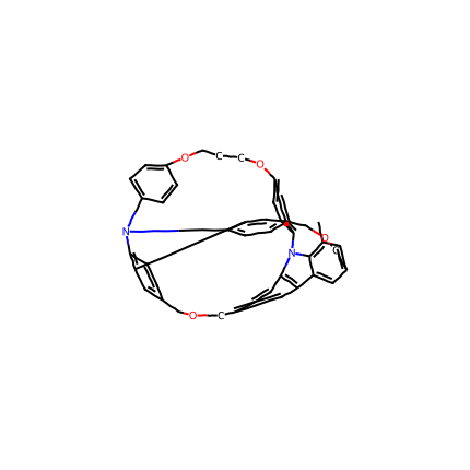 Cc1cc2cc3c4cc5ccc4n(c13)-c1ccc(cc1)OCCCOc1ccc(cc1)-n1c3ccc(cc3c3cc(ccc31)COC2)COC5